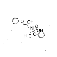 CCC(NCC(O)COc1ccccc1)(Oc1ccccc1)C(=O)O